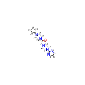 O=C(CN1CCN(c2ncccn2)CC1)N1CCN(C2CCCC2)CC1